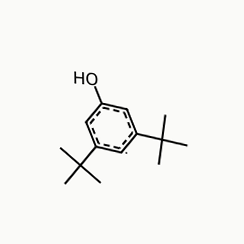 CC(C)(C)c1[c]c(C(C)(C)C)cc(O)c1